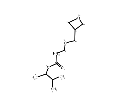 CC(C)C(C)OC(=O)NCOCC1COC1